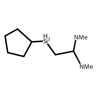 CNC(C[SiH2]C1CCCC1)NC